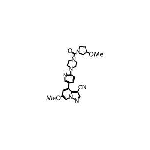 COc1cc(-c2ccc(N3CCN(C(=O)N4CCC(OC)C4)CC3)nc2)c2c(C#N)cnn2c1